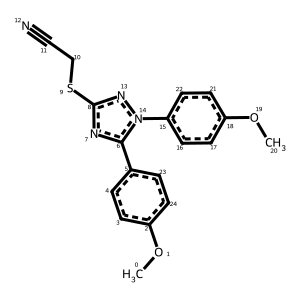 COc1ccc(-c2nc(SCC#N)nn2-c2ccc(OC)cc2)cc1